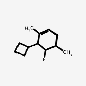 CC1=CCC(C)C(F)C1C1CCC1